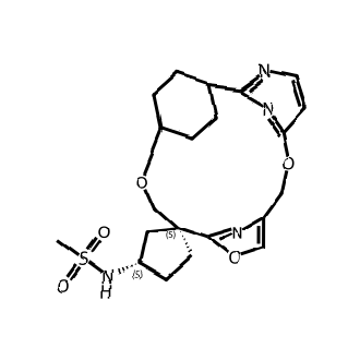 CS(=O)(=O)N[C@H]1CC[C@@]2(COC3CCC(CC3)c3nccc(n3)OCc3coc2n3)C1